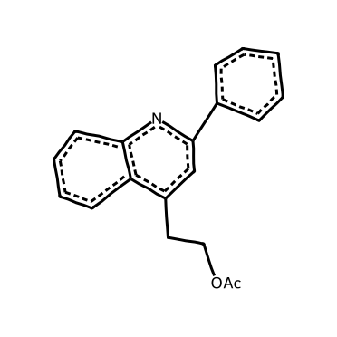 CC(=O)OCCc1cc(-c2ccccc2)nc2ccccc12